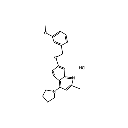 COc1cccc(COc2ccc3c(N4CCCC4)cc(C)nc3c2)c1.Cl